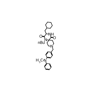 CCCCN1C(=O)C(CC2CCCCC2)NC(=O)C12CCN(Cc1ccc(N(C)c3ccccc3)cc1)CC2